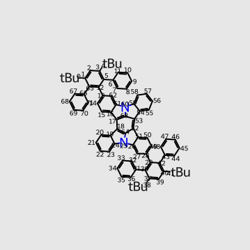 CC(C)(C)c1cc(C(C)(C)C)c(-c2ccccc2)c(-c2ccc3c4c5c6ccccc6n6c7cc(-c8c(-c9ccccc9)c(C(C)(C)C)cc(C(C)(C)C)c8-c8ccccc8)ccc7c(c7c8ccccc8n(c3c2)c74)c56)c1-c1ccccc1